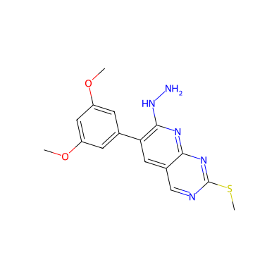 COc1cc(OC)cc(-c2cc3cnc(SC)nc3nc2NN)c1